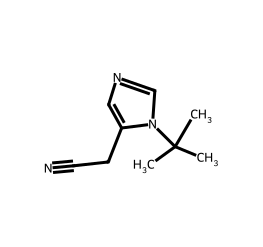 CC(C)(C)n1cncc1CC#N